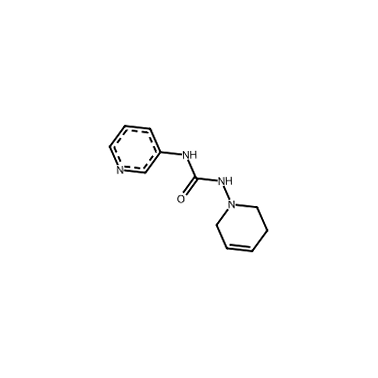 O=C(Nc1cccnc1)NN1CC=CCC1